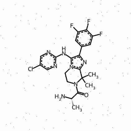 C[C@H](N)C(=O)N1CCn2c(nc(-c3cc(F)c(F)c(F)c3)c2Nc2ncc(Cl)cn2)C1(C)C